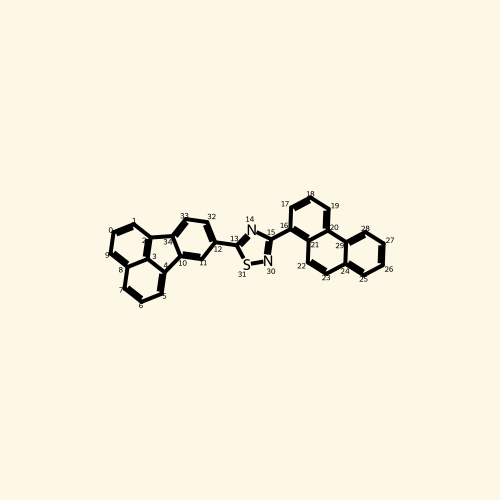 c1cc2c3c(cccc3c1)-c1cc(-c3nc(-c4cccc5c4ccc4ccccc45)ns3)ccc1-2